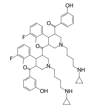 Cc1c(F)cccc1C1C(C(=O)c2cccc(O)c2)CN(CCCCNC2CC2)CC1C(=O)C1CN(CCCCNC2CC2)CC(C(=O)c2cccc(O)c2)C1c1cccc(F)c1C